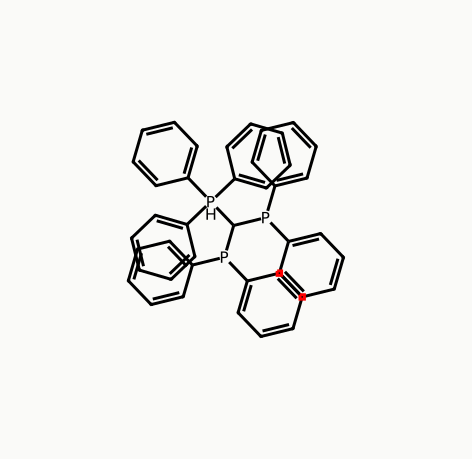 c1ccc(P(c2ccccc2)C(P(c2ccccc2)c2ccccc2)[PH](c2ccccc2)(c2ccccc2)c2ccccc2)cc1